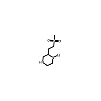 [CH2]CN1CCNCC1CCS(C)(=O)=O